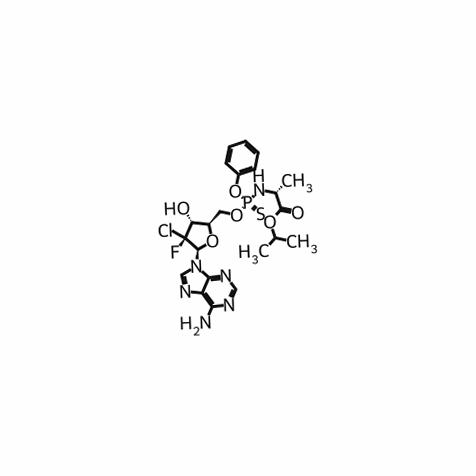 CC(C)OC(=O)[C@@H](C)NP(=S)(OC[C@H]1O[C@@H](n2cnc3c(N)ncnc32)[C@](F)(Cl)[C@@H]1O)Oc1ccccc1